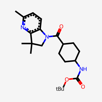 Cc1ccc2c(n1)C(C)(C)CN2C(=O)C1CCC(NC(=O)OC(C)(C)C)CC1